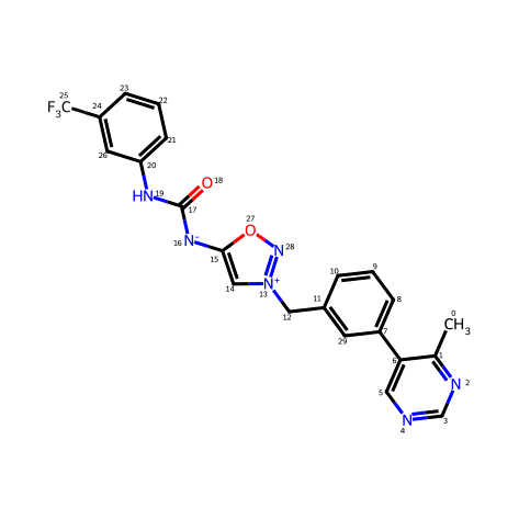 Cc1ncncc1-c1cccc(C[n+]2cc([N-]C(=O)Nc3cccc(C(F)(F)F)c3)on2)c1